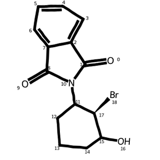 O=C1c2ccccc2C(=O)N1C1CCCC(O)[C@@H]1Br